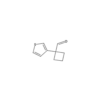 O=CC1(c2ccsc2)CCC1